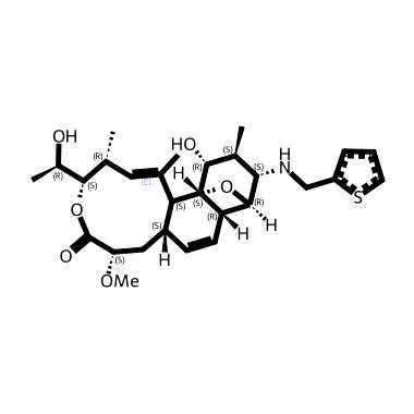 CO[C@H]1C[C@H]2C=C[C@H]3[C@H]4O[C@]2(/C(C)=C/[C@@H](C)[C@@H]([C@@H](C)O)OC1=O)[C@@H]3[C@H](O)[C@@H](C)[C@@H]4NCc1cccs1